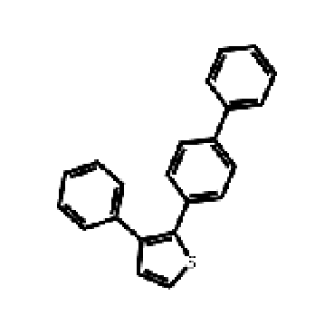 c1ccc(-c2ccc(-c3sccc3-c3ccccc3)cc2)cc1